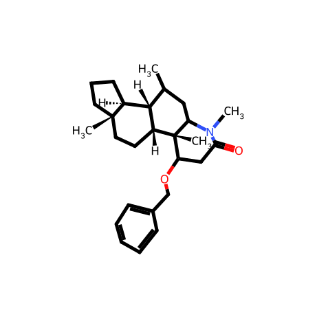 CC1CC2N(C)C(=O)CC(OCc3ccccc3)[C@]2(C)[C@@H]2CC[C@]3(C)CCC[C@H]3[C@H]12